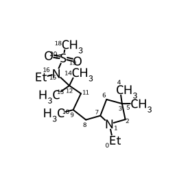 CCN1CC(C)(C)CC1CC(C)CC(C)(C)N(CC)S(C)(=O)=O